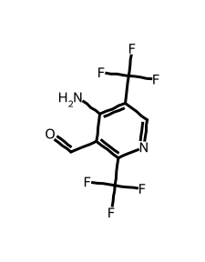 Nc1c(C(F)(F)F)cnc(C(F)(F)F)c1C=O